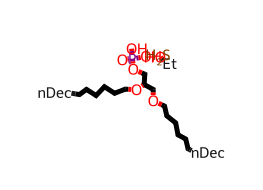 CCCCCCCCCCCCCCCCOCC(COP(=O)(O)O)OCCCCCCCCCCCCCCCC.CCO.S